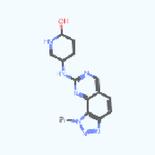 CC(C)n1nnc2ccc3cnc(NC4CCC(O)NC4)nc3c21